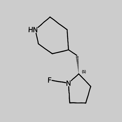 FN1CCC[C@H]1CC1CCNCC1